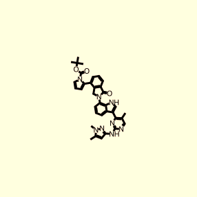 Cc1cnc(Nc2cc(C)n(C)n2)nc1-c1c[nH]c2c(N3Cc4c(cccc4-c4cccn4C(=O)OC(C)(C)C)C3=O)cccc12